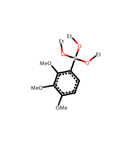 CCO[Si](OCC)(OCC)c1ccc(OC)c(OC)c1OC